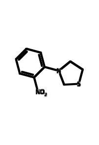 O=[N+]([O-])c1ccccc1N1CCSC1